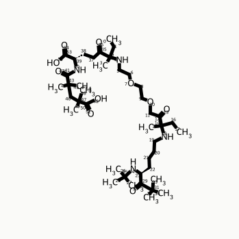 CCC(C)(NCCOCCOCC(=O)C(C)(CC)NCCCC[C@H](NC(C)(C)C)C(=O)C(C)(C)C)C(=O)CC[C@H](NC(=O)C(C)(C)CC(C)(C)C(=O)O)C(=O)O